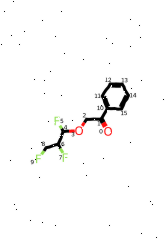 O=C(COC(F)C(F)CF)c1ccccc1